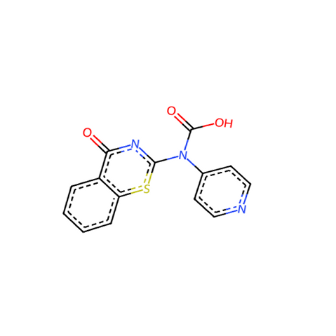 O=C(O)N(c1ccncc1)c1nc(=O)c2ccccc2s1